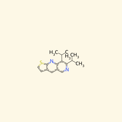 CC(C)c1ncc2cc3ccsc3nc2c1C(C)C